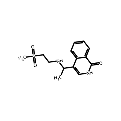 CC(NCCS(C)(=O)=O)c1c[nH]c(=O)c2ccccc12